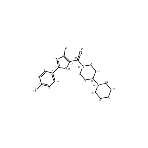 Cc1nc(-c2ccc(F)cc2)sc1C(=O)N1CCC(N2CCCCC2)CC1